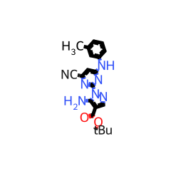 Cc1cccc(Nc2cc(C#N)nc(-n3ncc(C(=O)OC(C)(C)C)c3N)n2)c1